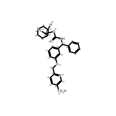 O=C(N[C@@H](c1ccccc1)c1cccc(OCc2ccc(C(=O)O)cn2)c1)O[C@H]1CN2CCC1CC2